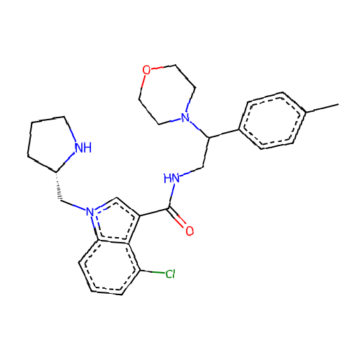 Cc1ccc(C(CNC(=O)c2cn(C[C@@H]3CCCN3)c3cccc(Cl)c23)N2CCOCC2)cc1